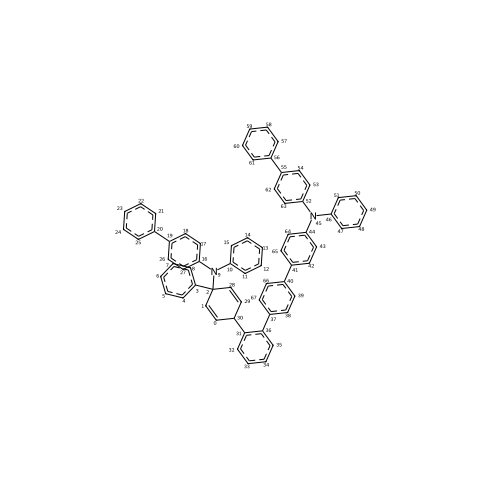 C1=CC(c2ccccc2)(N(c2ccccc2)c2ccc(-c3ccccc3)cc2)C=CC1c1ccccc1-c1ccc(-c2ccc(N(c3ccccc3)c3ccc(-c4ccccc4)cc3)cc2)cc1